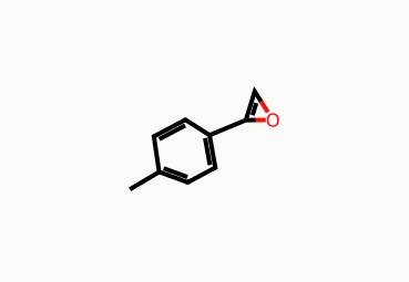 Cc1ccc(C2=CO2)cc1